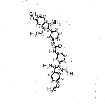 CCn1c(-c2cccc(NC(=O)Oc3cccc(-c4c(N)c5ccc(OC)cc5n4CC)c3)c2)c(N)c2ccc(OC)cc21